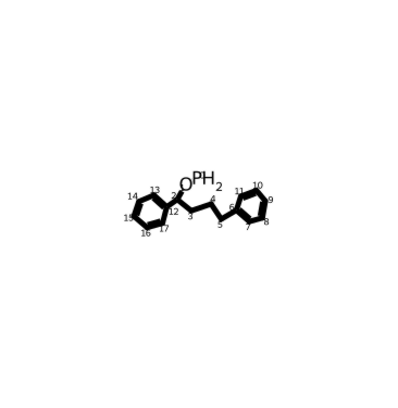 POC(CCCc1ccccc1)c1ccccc1